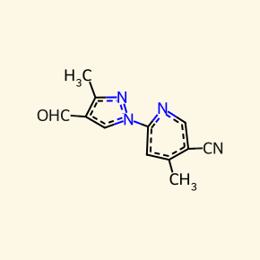 Cc1cc(-n2cc(C=O)c(C)n2)ncc1C#N